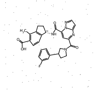 Cc1c(C(=O)O)ccc2c1CC[C@@H]2NC(=O)c1cc(C(=O)N2CCC(c3cccc(F)c3)C2)nc2ccnn12